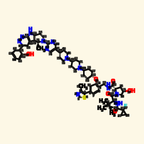 Cc1ncsc1-c1ccc(CNC(=O)[C@@H]2C[C@@H](O)CN2C(=O)[C@@H](NC(=O)C2(F)CC2)C(C)(C)C)c(O[C@H]2CC[C@H](N3CCC(N4CCC(c5cnc(N6CCc7[nH]c8nnc(-c9ccccc9O)cc8c7[C@@H]6C)nc5)CC4)CC3)CC2)c1